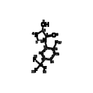 O=C1C(O)SCN1c1cc(C(F)(F)F)ccc1F